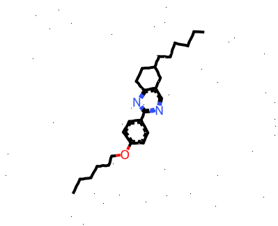 CCCCCCOc1ccc(-c2ncc3c(n2)CCC(CCCCCC)C3)cc1